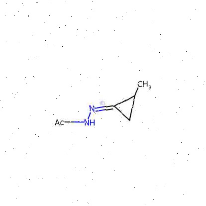 CC(=O)N/N=C1\CC1C